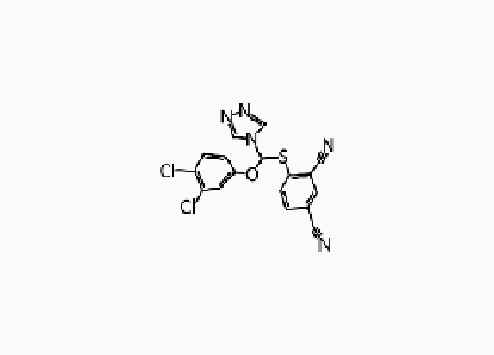 N#Cc1ccc(SC(Oc2ccc(Cl)c(Cl)c2)n2cnnc2)c(C#N)c1